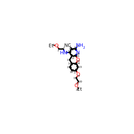 CCOCCNc1c(C#N)c(N)nc2c1Cc1ccc(OCCOCC)cc1O2